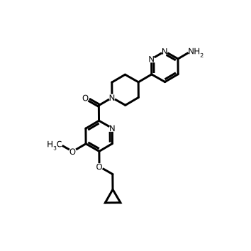 COc1cc(C(=O)N2CCC(c3ccc(N)nn3)CC2)ncc1OCC1CC1